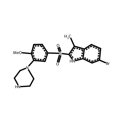 COc1ccc(S(=O)(=O)c2[nH]c3cc(Br)ccc3c2C)cc1N1CCNCC1